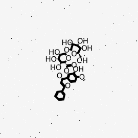 COc1cc2oc(-c3ccccc3)cc(=O)c2c(OC(=O)[C@H]2O[C@@H](O[C@@H]3O[C@H](CO)[C@@H](O)[C@H](O)[C@H]3O)[C@H](O)[C@@H](O)[C@@H]2O)c1O